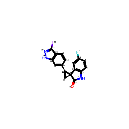 O=C1Nc2ccc(F)cc2[C@]12C[C@H]2c1ccc2c(I)n[nH]c2c1